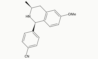 COc1ccc2c(c1)C[C@H](C)N[C@@H]2c1ccc(C#N)cc1